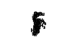 C[C@H]1OC(C)(C)OC(CN2CC3(CCN(C(=O)OC(C)(C)C)C3)C2)OC1n1cnc2c(NC(=O)c3ccccc3)ncnc21